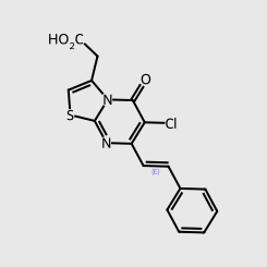 O=C(O)Cc1csc2nc(/C=C/c3ccccc3)c(Cl)c(=O)n12